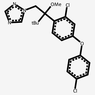 COC(Cn1cncn1)(c1ccc(Oc2ccc(Cl)cc2)cc1Cl)C(C)(C)C